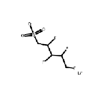 O=S(=O)([O-])CC(F)C(F)C(F)CF.[Li+]